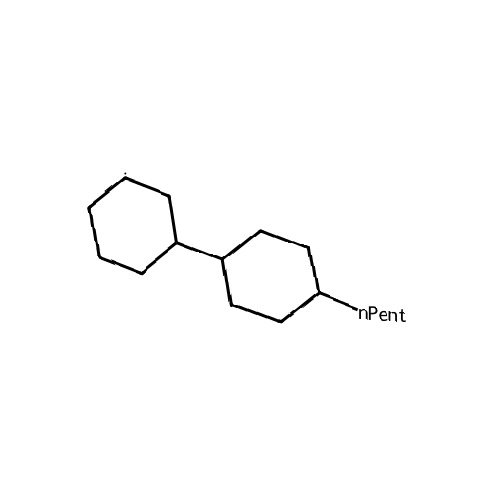 CCCCCC1CCC(C2C[CH]CCC2)CC1